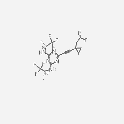 C[C@@H](Nc1nc(C#CC2(CC(F)F)CC2)nc(N[C@H](C)C(F)(F)F)n1)C(F)(F)F